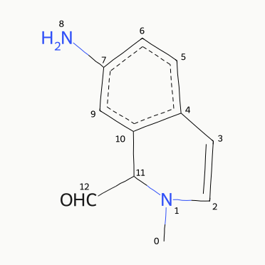 CN1C=Cc2ccc(N)cc2C1C=O